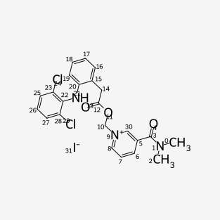 CN(C)C(=O)c1ccc[n+](COC(=O)Cc2ccccc2Nc2c(Cl)cccc2Cl)c1.[I-]